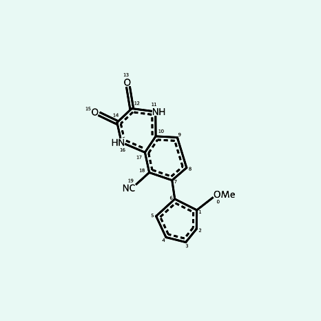 COc1ccccc1-c1ccc2[nH]c(=O)c(=O)[nH]c2c1C#N